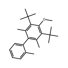 COc1c(C(C)(C)C)c(C)c(-c2ccccc2C)c(C)c1C(C)(C)C